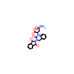 NC(=O)CC(NC(=O)N(Cc1ccccc1)N1C(=O)c2ccccc2C1=O)C(=O)O